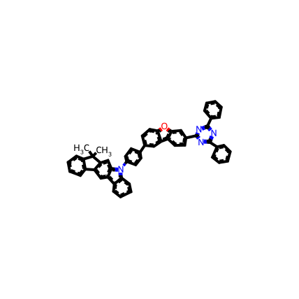 CC1(C)c2ccccc2-c2cc3c4ccccc4n(-c4ccc(-c5ccc6oc7cc(-c8nc(-c9ccccc9)nc(-c9ccccc9)n8)ccc7c6c5)cc4)c3cc21